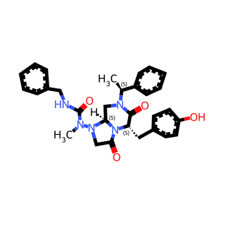 C[C@@H](c1ccccc1)N1C[C@H]2N(C(=O)CN2N(C)C(=O)NCc2ccccc2)[C@@H](Cc2ccc(O)cc2)C1=O